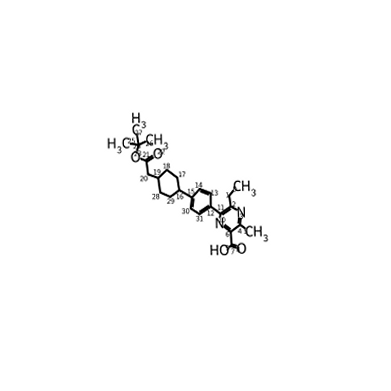 CCc1nc(C)c(C(=O)O)nc1-c1ccc(C2CCC(CC(=O)OC(C)(C)C)CC2)cc1